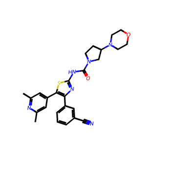 Cc1cc(-c2sc(NC(=O)N3CCC(N4CCOCC4)C3)nc2-c2cccc(C#N)c2)cc(C)n1